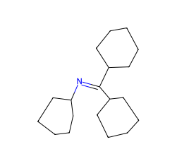 C1CCC(N=C(C2CCCCC2)C2CCCCC2)CC1